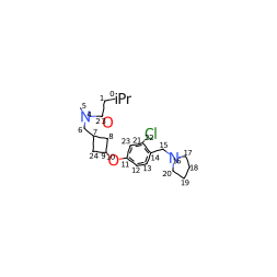 CC(C)CC(=O)N(C)CC1CC(Oc2ccc(CN3CCCC3)c(Cl)c2)C1